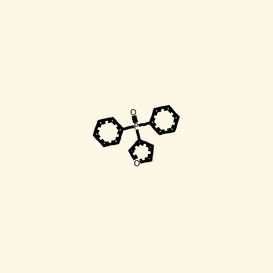 O=P(c1ccccc1)(c1ccccc1)c1ccoc1